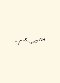 CSC=C=N